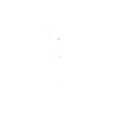 CCCC(=O)N1CCC(NS(=O)(=O)c2ccc(NC(=O)c3ccccc3C)c3c2CCC3)CC1